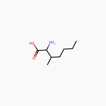 CCCCC(C)C(N)C(=O)O